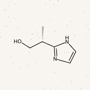 C[C@@H](CO)c1ncc[nH]1